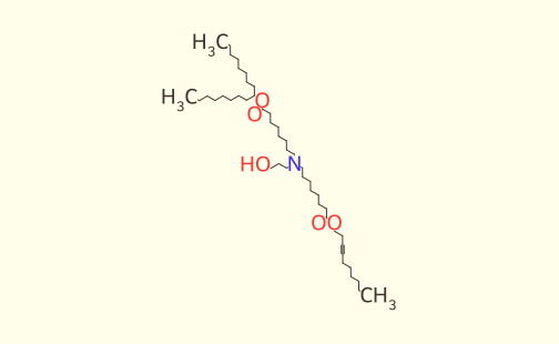 CCCCCCC#CCCOC(=O)CCCCCCCN(CCCO)CCCCCCCC(=O)OC(CCCCCCCC)CCCCCCCC